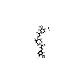 CC1CCN(C(=O)CCN2CCN(C(=O)/C=C/c3ccc(Cl)c(Cl)c3)CCC2=O)CC1O